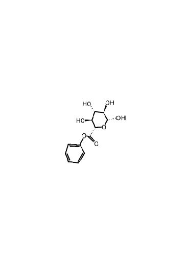 O=C(Oc1ccccc1)[C@H]1O[C@@H](O)[C@H](O)[C@@H](O)[C@@H]1O